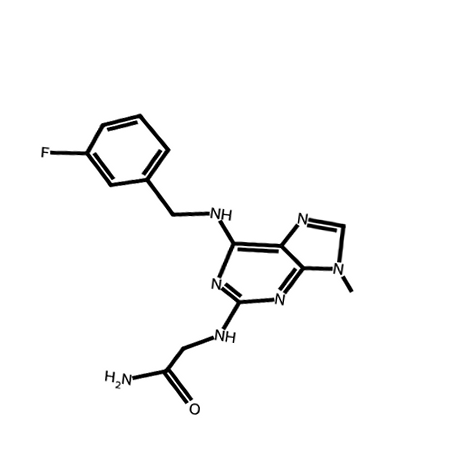 Cn1cnc2c(NCc3cccc(F)c3)nc(NCC(N)=O)nc21